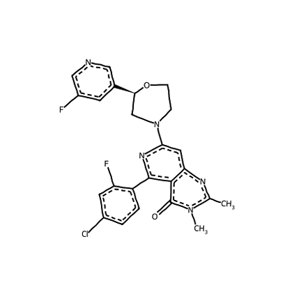 Cc1nc2cc(N3CCO[C@H](c4cncc(F)c4)C3)nc(-c3ccc(Cl)cc3F)c2c(=O)n1C